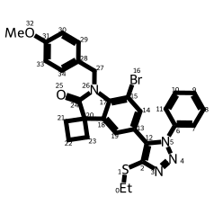 CCSc1nnn(-c2ccccc2)c1-c1cc(Br)c2c(c1)C1(CCC1)C(=O)N2Cc1ccc(OC)cc1